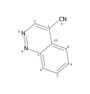 N#Cc1cnnc2ccccc12